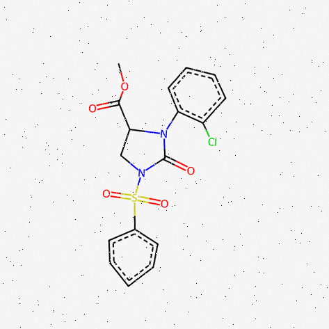 COC(=O)C1CN(S(=O)(=O)c2ccccc2)C(=O)N1c1ccccc1Cl